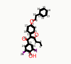 CCCc1oc2cc(OCCc3ccccc3)ccc2c1C(=O)c1cc(I)c(O)c(I)c1